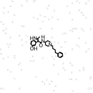 Cc1[nH]c2ccc(O)cc2c1C(=O)NC1CCN(CCCCc2ccccc2)CC1